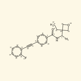 [2H]C(NC(=O)c1ccc(C#Cc2ccccc2F)cc1)C1(CC)COC1